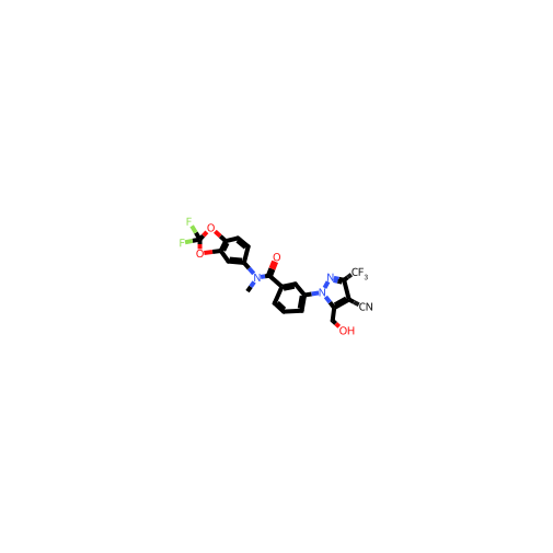 CN(C(=O)c1cccc(-n2nc(C(F)(F)F)c(C#N)c2CO)c1)c1ccc2c(c1)OC(F)(F)O2